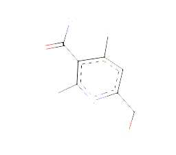 CCc1cc(CO)nc(CC)c1C(N)=O